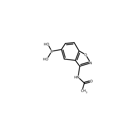 CC(=O)Nc1noc2ccc(B(O)O)cc12